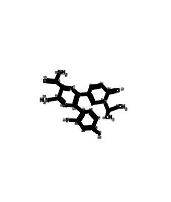 CC(C)n1cc(-c2nc(C(N)=O)c(N)nc2-c2ccc(F)cc2F)ccc1=O